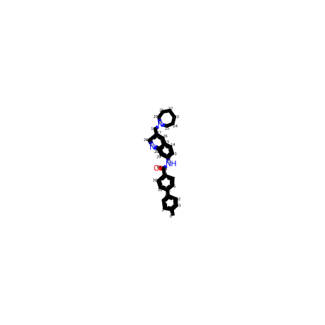 Cc1ccc(-c2ccc(C(=O)Nc3ccc4cc(CN5CCCCCC5)cnc4c3)cc2)cc1